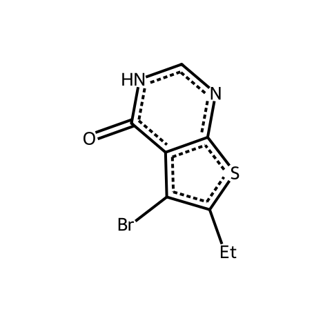 CCc1sc2nc[nH]c(=O)c2c1Br